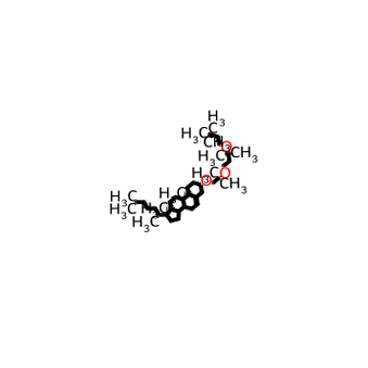 CC(C)CCCC(C)C1CCC2C3CC=C4CC(OCC(C)(C)OCCC(C)(C)OCCC(C)(C)C)CC[C@]4(C)C3CC[C@]12C